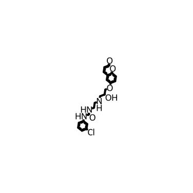 O=C(NCCNCC(O)COc1ccc2oc(=O)ccc2c1)Nc1cccc(Cl)c1